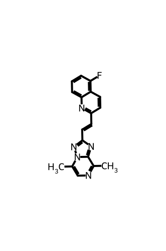 Cc1ncc(C)n2nc(C=Cc3ccc4c(F)cccc4n3)nc12